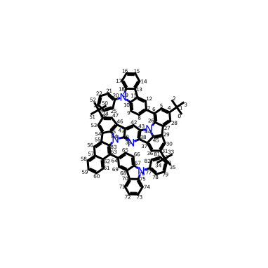 CC(C)(C)c1cc(-c2ccc3c(c2)c2ccccc2n3-c2ccccc2)c2c(c1)c1cc(C(C)(C)C)cc3c4nc5c(cc4n2c13)c1cc(C(C)(C)C)cc2c3cc4ccccc4c(-c4ccc6c(c4)c4ccccc4n6-c4ccccc4)c3n5c12